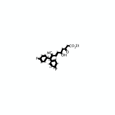 CCOC(=O)CC(=O)CC(O)C=CC(C#N)=C(c1ccc(F)cc1)c1ccc(F)cc1